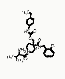 CCc1ccc(NC(=O)OCC2(C(=O)NCc3ccccc3Cl)CCN(C(=O)C(N)C(C)C)CC2)cc1